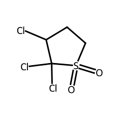 O=S1(=O)CCC(Cl)C1(Cl)Cl